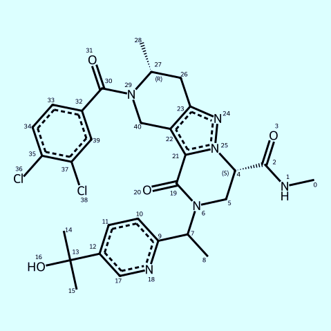 CNC(=O)[C@@H]1CN(C(C)c2ccc(C(C)(C)O)cn2)C(=O)c2c3c(nn21)C[C@@H](C)N(C(=O)c1ccc(Cl)c(Cl)c1)C3